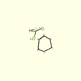 [CH]1CCCCC1.[Cl][GaH][Cl]